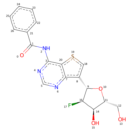 O=C(Nc1ncnc2c([C@@H]3O[C@H](CO)[C@@H](O)[C@H]3F)csc12)c1ccccc1